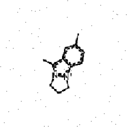 Cc1ccc2c(c1)c(C)n1[n+]2CCC1